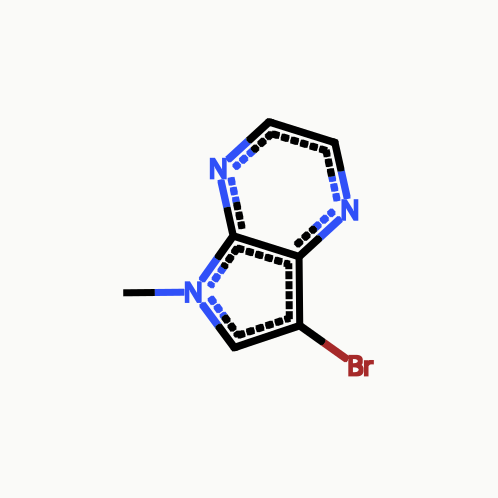 Cn1cc(Br)c2nccnc21